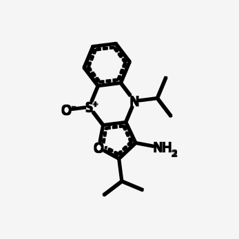 CC(C)c1oc2c(c1N)N(C(C)C)c1ccccc1[S+]2[O-]